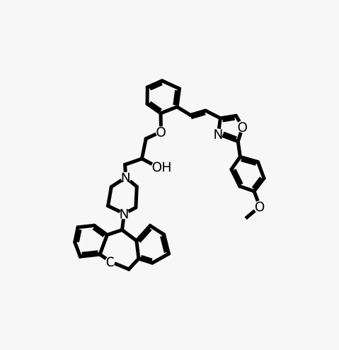 COc1ccc(-c2nc(C=Cc3ccccc3OCC(O)CN3CCN(C4c5ccccc5CCc5ccccc54)CC3)co2)cc1